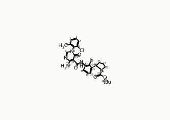 Cc1cccc(Cl)c1-n1cnc(N)c(C(=O)Nc2cccc([C@H]3CCCN3C(=O)OC(C)(C)C)c2F)c1=O